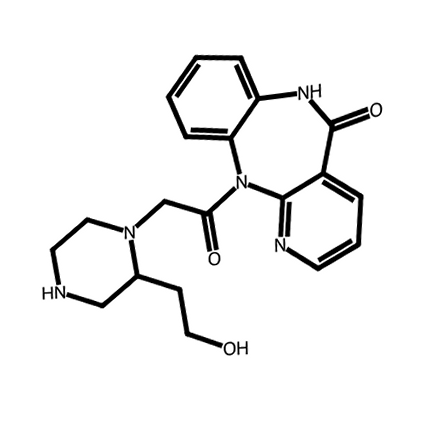 O=C1Nc2ccccc2N(C(=O)CN2CCNCC2CCO)c2ncccc21